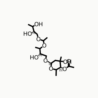 CC(=O)O[C@H]1C(C)O[C@@H](OC[C@H](O)C(C)OC(C)OC[C@H](O)C(C)O)CC1(C)O